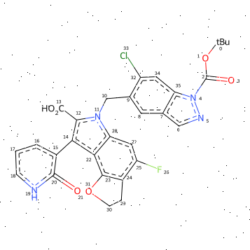 CC(C)(C)OC(=O)n1ncc2cc(Cn3c(C(=O)O)c(-c4ccc[nH]c4=O)c4c5c(c(F)cc43)CCO5)c(Cl)cc21